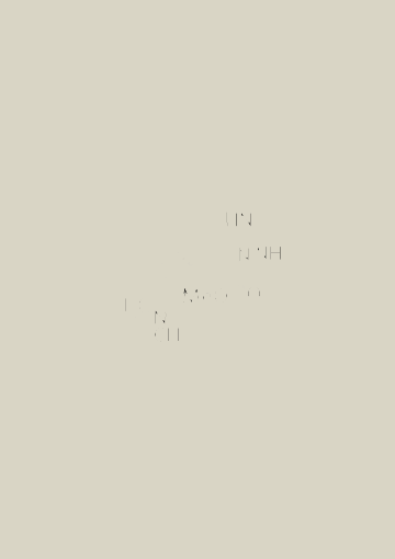 COC(=O)c1c(-c2cccc(CN(C)C)c2)cc2n1NCCN2